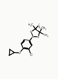 CC1(C)OB(c2ccc(OC3CC3)c(Cl)c2)OC1(C)C